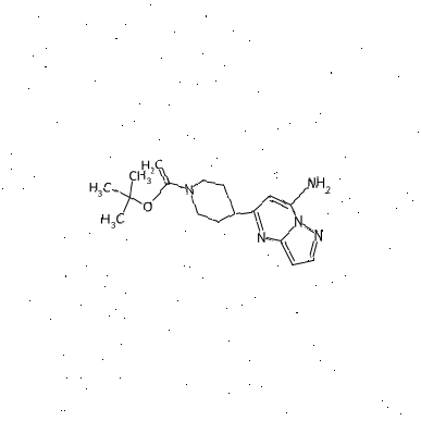 C=C(OC(C)(C)C)N1CCC(c2cc(N)n3nccc3n2)CC1